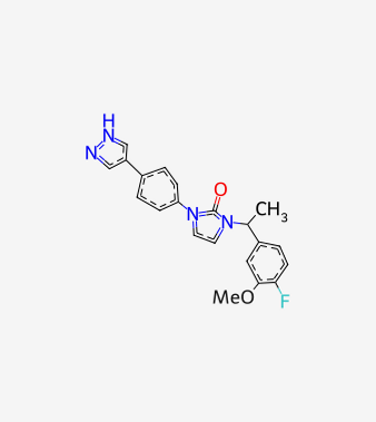 COc1cc(C(C)n2ccn(-c3ccc(-c4cn[nH]c4)cc3)c2=O)ccc1F